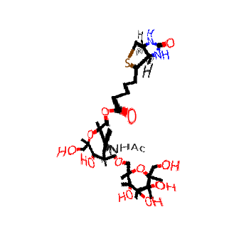 CC(=O)NC1(C)C(C)(COC(=O)CCCCC2SC[C@@H]3NC(=O)N[C@H]23)OC(C)(CO)C(O)[C@@]1(C)COCC1(C)OC(C)(CO)C(C)(O)C(C)(O)C1(C)O